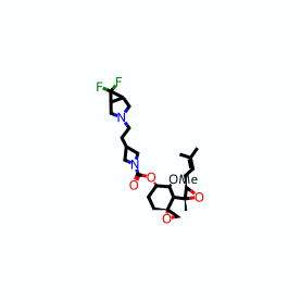 CO[C@H]1C([C@@]2(C)O[C@@H]2CC=C(C)C)[C@]2(CC[C@H]1OC(=O)N1CC(CCN3CC4C(C3)C4(F)F)C1)CO2